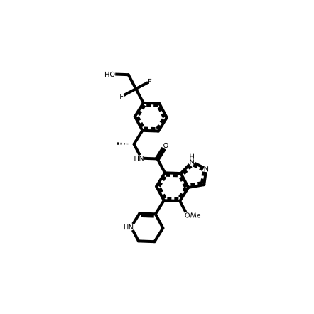 COc1c(C2=CNCCC2)cc(C(=O)N[C@H](C)c2cccc(C(F)(F)CO)c2)c2[nH]ncc12